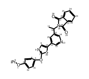 CC(C)Oc1ccc(Oc2ncc(-c3cncc(C(C)N4C(=O)c5ccccc5C4=O)c3)s2)cc1